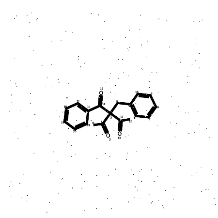 CC(=O)C(Cc1ccccc1)(C(C)=O)C(=O)c1ccccc1